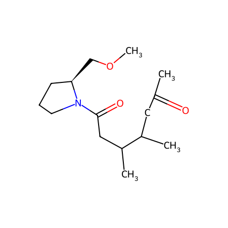 COC[C@@H]1CCCN1C(=O)CC(C)C(C)CC(C)=O